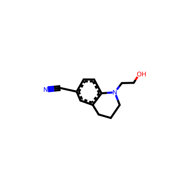 N#Cc1ccc2c(c1)CCCN2CCO